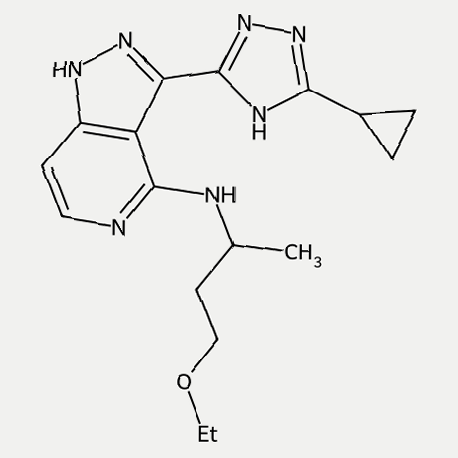 CCOCCC(C)Nc1nccc2[nH]nc(-c3nnc(C4CC4)[nH]3)c12